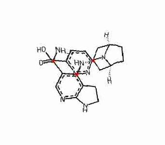 NC(=O)c1cnc2c(c1N[C@@H]1C[C@H]3CC[C@@H](C1)N3c1ccc(CO)nn1)CCN2